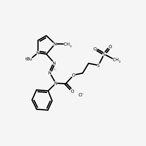 Cn1cc[n+](C(C)(C)C)c1/N=N/N(C(=O)OCCSS(C)(=O)=O)c1ccccc1.[Cl-]